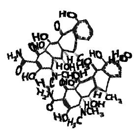 C[C@H]1c2cccc(O)c2C(=O)C2=C(O)[C@]3(O)C(=O)C(C(N)=O)=C(O)[C@@H](N(C)C)[C@@H]3[C@@H](O)[C@@H]21.C[C@H]1c2cccc(O)c2C(=O)C2=C(O)[C@]3(O)C(=O)C(C(N)=O)=C(O)[C@@H](N(C)C)[C@@H]3[C@@H](O)[C@@H]21.O.O